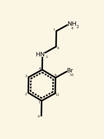 Cc1ccc(NCCN)c(Br)c1